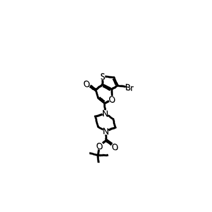 CC(C)(C)OC(=O)N1CCN(c2cc(=O)c3scc(Br)c3o2)CC1